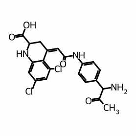 CC(=O)C(N)c1ccc(NC(=O)/C=C2/CC(C(=O)O)Nc3cc(Cl)cc(Cl)c32)cc1